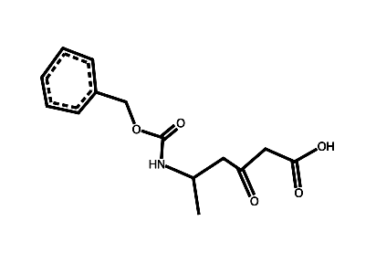 CC(CC(=O)CC(=O)O)NC(=O)OCc1ccccc1